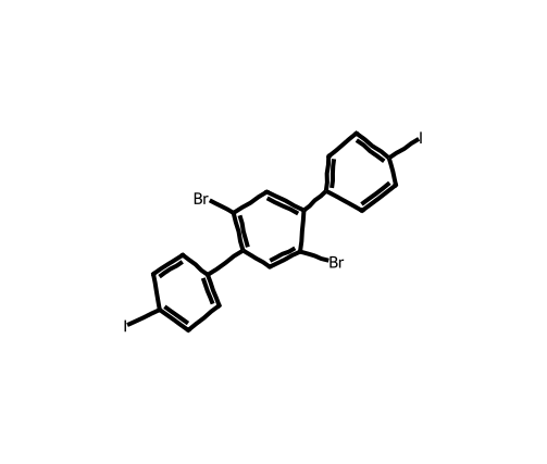 Brc1cc(-c2ccc(I)cc2)c(Br)cc1-c1ccc(I)cc1